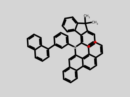 CC1(C)c2ccccc2-c2c(N(c3cccc(-c4cccc5ccccc45)c3)c3cc4ccccc4c4ccc5ccccc5c34)cccc21